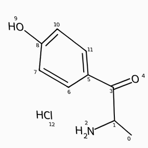 CC(N)C(=O)c1ccc(O)cc1.Cl